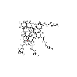 CCCCCc1ccc(-c2c(-c3ccc(CCCCC)cc3)c3ccc4cccc5cc(-c6ccc(CCCCC)cc6)c(c2-c2ccc(CCCCC)cc2)c3c45)cc1